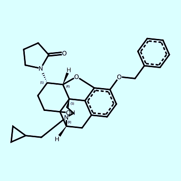 O=C1CCCN1[C@H]1CCC2(O)[C@H]3Cc4ccc(OCc5ccccc5)c5c4[C@@]2(CCN3CC2CC2)[C@H]1O5